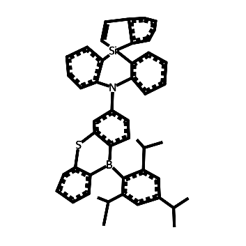 CC(C)c1cc(C(C)C)c(B2c3ccccc3Sc3cc(N4c5ccccc5[Si]5(C=Cc6ccccc65)c5ccccc54)ccc32)c(C(C)C)c1